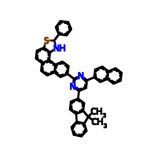 CC1(C)c2ccccc2-c2ccc(-c3cc(-c4ccc5ccccc5c4)nc(-c4ccc5c(ccc6ccc7c(c65)NC(c5ccccc5)S7)c4)n3)cc21